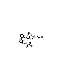 CCCCCN1CCC(CCOc2ccccc2-c2ccccc2)C(OC)C1.O=C(O)C(=O)O